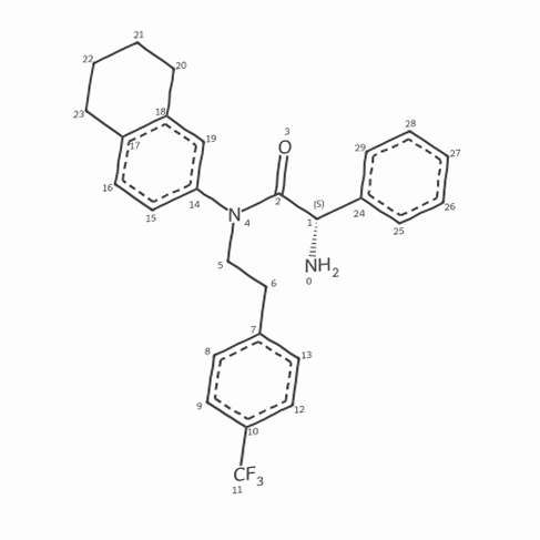 N[C@H](C(=O)N(CCc1ccc(C(F)(F)F)cc1)c1ccc2c(c1)CCCC2)c1ccccc1